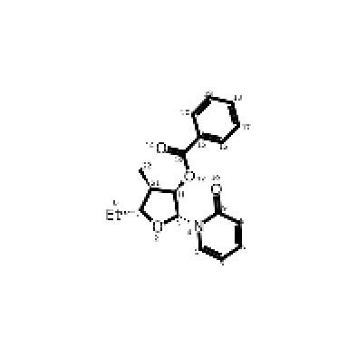 CC[C@H]1O[C@@H](n2ccccc2=O)[C@H](OC(=O)c2ccccc2)[C@@H]1C